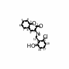 O=c1oc2ccccc2cc1N=Cc1c(O)cccc1Cl